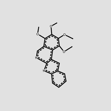 COc1c(OC)c(OC)c2c(cnc3nc4ccccc4cc32)c1OC